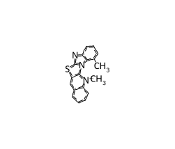 Cc1cccc2nc3sc4cc5ccccc5[n+](C)c4n3c12